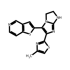 Cc1csc(-c2nc3n(c2-c2cc4cnccc4s2)CCN3)n1